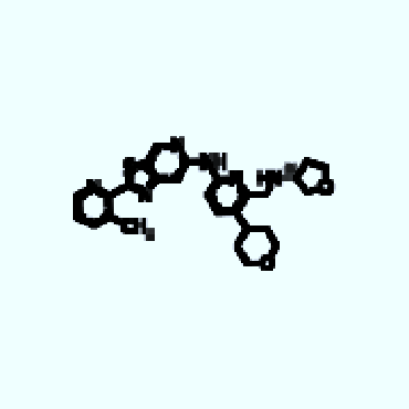 Cc1cccnc1-c1nc2cc(Nc3ccc(C4CCOCC4)c(CN[C@@H]4CCOC4)n3)ncc2s1